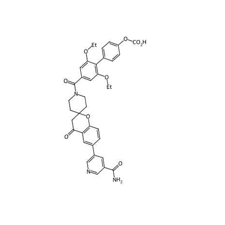 CCOc1cc(C(=O)N2CCC3(CC2)CC(=O)c2cc(-c4cncc(C(N)=O)c4)ccc2O3)cc(OCC)c1-c1ccc(OC(=O)O)cc1